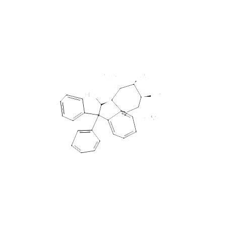 CO[C@@H]1O[C@@H](C(O)C(c2ccccc2)(c2ccccc2)c2ccccc2)[C@H](OC(C)=O)[C@@H](OC(C)=O)[C@H]1OC(C)=O